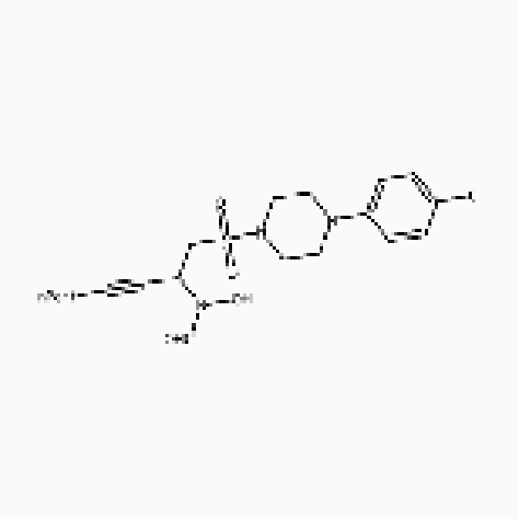 CCCCCC#CC(CS(=O)(=O)N1CCN(c2ccc(Cl)cc2)CC1)N(O)C=O